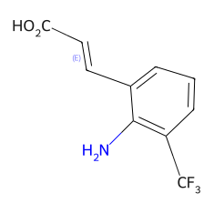 Nc1c(/C=C/C(=O)O)cccc1C(F)(F)F